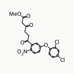 COC(=O)CC(=O)CCC(=O)c1cc(Oc2ccc(Cl)cc2Cl)ccc1[N+](=O)[O-]